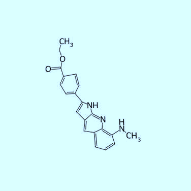 CCOC(=O)c1ccc(-c2cc3cc4cccc(NC)c4nc3[nH]2)cc1